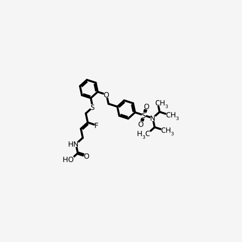 CC(C)N(C(C)C)S(=O)(=O)c1ccc(COc2ccccc2SCC(F)=CCNC(=O)O)cc1